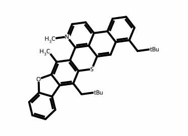 Cc1c2c(c(CC(C)(C)C)c3c1oc1ccccc13)Sc1cc3c(CC(C)(C)C)cccc3c3cc[n+](C)c-2c13